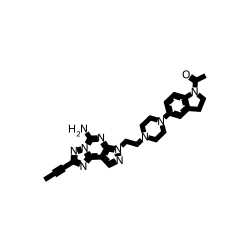 CC#Cc1nc2c3cnn(CCN4CCN(c5ccc6c(c5)CCN6C(C)=O)CC4)c3nc(N)n2n1